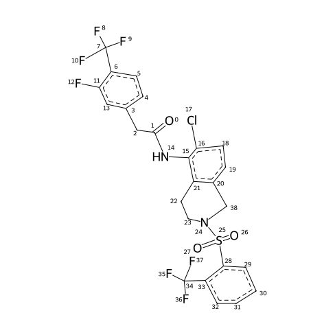 O=C(Cc1ccc(C(F)(F)F)c(F)c1)Nc1c(Cl)ccc2c1CCN(S(=O)(=O)c1ccccc1C(F)(F)F)C2